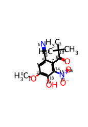 COc1cc(C#N)c(C(=O)C(C)(C)C)c([N+](=O)[O-])c1O